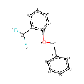 FC(F)c1ccc[c]c1OCc1ccccc1